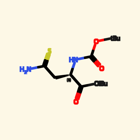 CC(C)COC(=O)[C@H](CC(N)=S)NC(=O)OC(C)(C)C